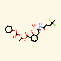 CC(OC(=O)OC1CCCCC1)OC(=O)c1cccc2c1OB(O)[C@@H](NC(=O)CCC(C)(F)F)C2